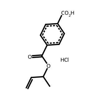 C=CC(C)OC(=O)c1ccc(C(=O)O)cc1.Cl